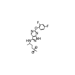 CC(CCS(C)(=O)=O)Nc1n[nH]c2nc(Oc3ccc(F)cc3F)ncc12